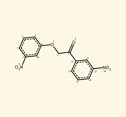 O=C(COc1cccc([N+](=O)[O-])c1)c1cccc([N+](=O)[O-])c1